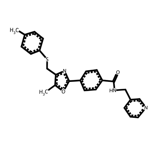 Cc1ccc(SCc2nc(-c3ccc(C(=O)NCc4cccnc4)cc3)oc2C)cc1